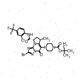 C[C@@H]1C[C@@H](C(=O)Nc2ccc(C(F)(F)F)cc2Cl)n2c1c(N1CCN(C(=O)OC(C)(C)C)CC1)c(=O)n1nc(Br)nc21